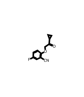 N#Cc1cc(F)ccc1OCC(=O)C1CC1